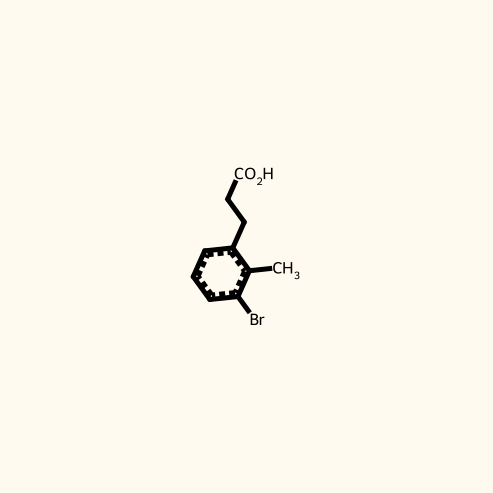 Cc1c(Br)cccc1CCC(=O)O